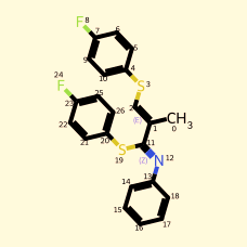 CC(=C\Sc1ccc(F)cc1)/C(=N/c1ccccc1)Sc1ccc(F)cc1